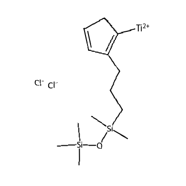 C[Si](C)(C)O[Si](C)(C)CCCC1=[C]([Ti+2])CC=C1.[Cl-].[Cl-]